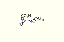 O=C(O)c1ccc2c(c1)c(CCCCN1CCc3cc(C(F)(F)F)ccc3C1)cn2-c1ccccc1